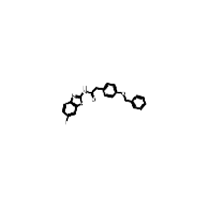 O=C(Cc1ccc(OCc2ccccc2)cc1)Nc1nc2ccc(F)cc2s1